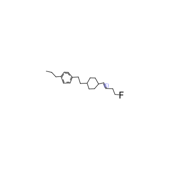 CCCc1ccc(CCC2CCC(/C=C/CCF)CC2)cc1